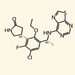 CCOc1c([C@@H](C)Nc2ncnc3scnc23)cc(Cl)c(F)c1[C@@H]1CNC(=O)C1